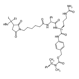 CCCCC(I)(CC)C1CC(=O)N(CCCCCC(=O)NC(C(=O)N[C@@H](CCCNC(N)=O)C(=O)Nc2ccc(COC(=O)N(C)[C@H](C)C(C)C)cc2)C(C)C)C1=O